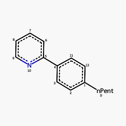 CCCCCc1ccc(-c2ccccn2)cc1